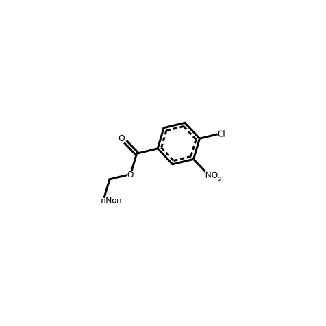 CCCCCCCCCCOC(=O)c1ccc(Cl)c([N+](=O)[O-])c1